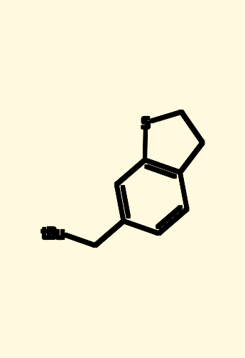 CC(C)(C)Cc1ccc2c(c1)SCC2